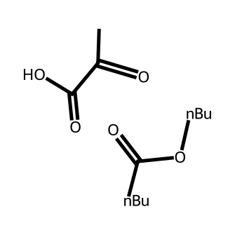 CC(=O)C(=O)O.CCCCOC(=O)CCCC